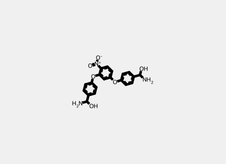 NC(O)c1ccc(Oc2ccc([N+](=O)[O-])c(Oc3ccc(C(N)O)cc3)c2)cc1